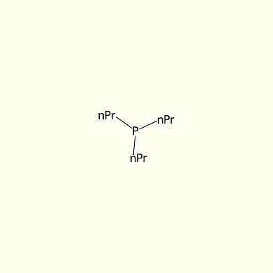 CCCP(CCC)CCC